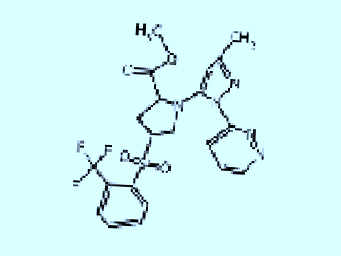 COC(=O)C1CC(S(=O)(=O)c2ccccc2C(F)(F)F)CN1c1cc(C)nn1-c1cccnn1